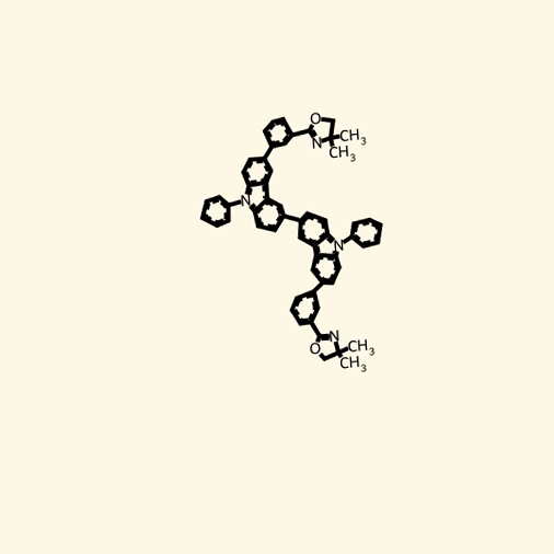 CC1(C)COC(c2cccc(-c3ccc4c(c3)c3cc(-c5ccc6c(c5)c5cc(-c7cccc(C8=NC(C)(C)CO8)c7)ccc5n6-c5ccccc5)ccc3n4-c3ccccc3)c2)=N1